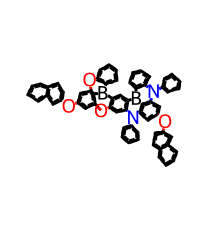 c1ccc(N2c3ccccc3B3c4cc5c(cc4N(c4ccccc4)c4cc(Oc6ccc7ccccc7c6)cc2c43)Oc2cc(Oc3ccc4ccccc4c3)cc3c2B5c2ccccc2O3)cc1